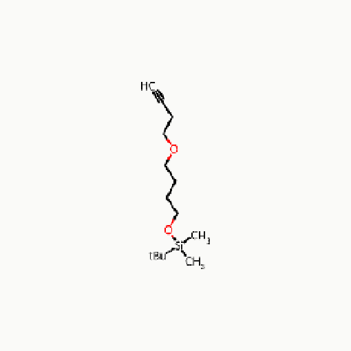 C#CCCOCCCCO[Si](C)(C)C(C)(C)C